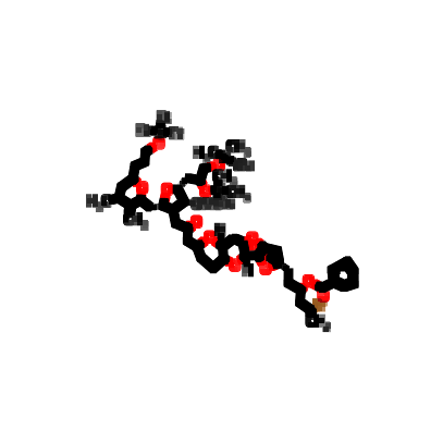 C=C(Br)CC(CC[C@@]12CC3OC4C(O1)[C@H]1OC(CC(=O)CC5[C@H](CC6OC(CCCO[Si](CC)(CC)CC)CC(C)C6=C)O[C@H](CC(CO[Si](C)(C)C(C)(C)C)O[Si](C)(C)C(C)(C)C)[C@@H]5OC)CCC1O[C@H]4C3O2)OC(=O)c1ccccc1